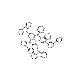 c1ccc(-c2ccccc2N2c3cc4oc5c(-c6ccccc6)cccc5c4cc3B3c4cc5c(cc4N(c4ccccc4-c4ccccc4)c4cc(-n6c7ccccc7c7ccccc76)cc2c43)c2cccc3c4ccccc4n5c32)cc1